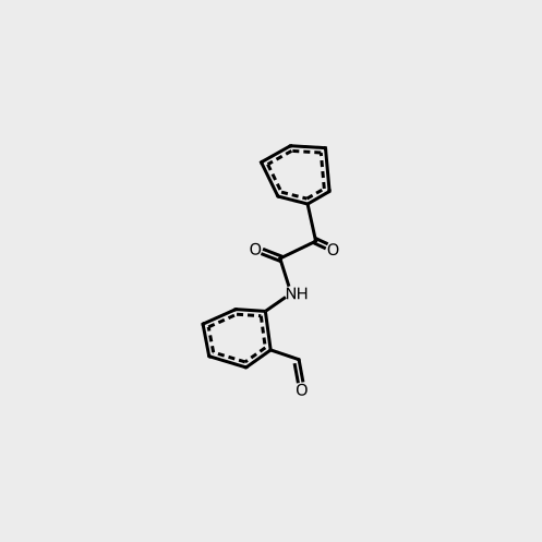 O=Cc1ccccc1NC(=O)C(=O)c1ccccc1